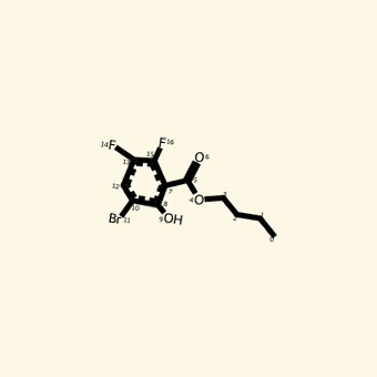 CCCCOC(=O)c1c(O)c(Br)cc(F)c1F